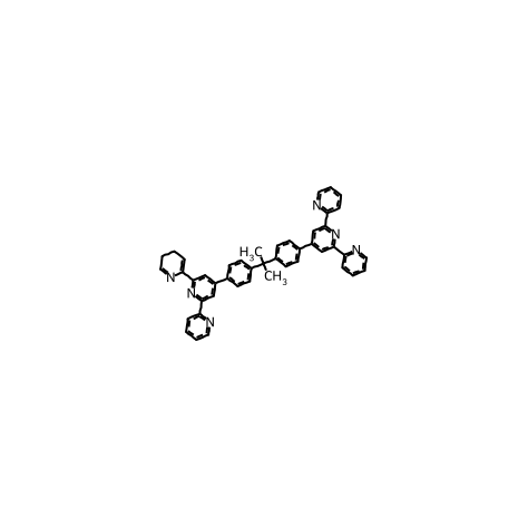 CC(C)(c1ccc(-c2cc(C3=CCCC=N3)nc(-c3ccccn3)c2)cc1)c1ccc(-c2cc(-c3ccccn3)nc(-c3ccccn3)c2)cc1